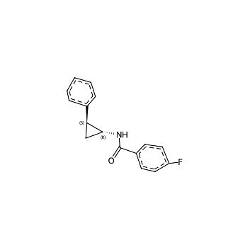 O=C(N[C@@H]1C[C@H]1c1ccccc1)c1ccc(F)cc1